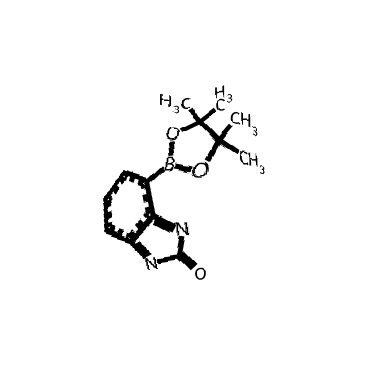 CC1(C)OB(c2cccc3c2=NC(=O)N=3)OC1(C)C